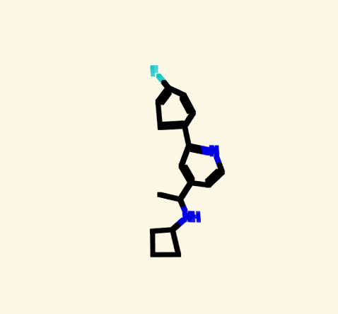 CC(NC1CCC1)c1ccnc(-c2ccc(F)cc2)c1